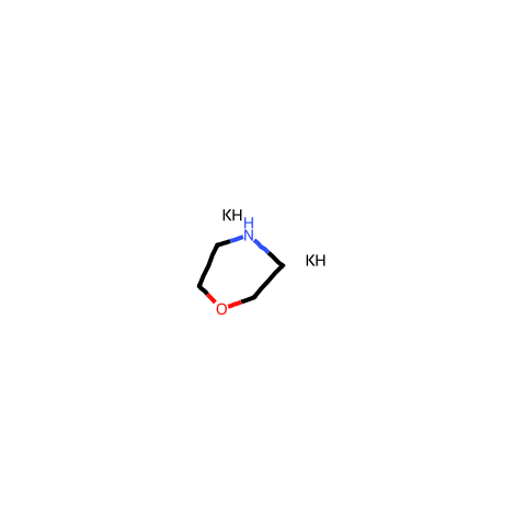 C1COCCN1.[KH].[KH]